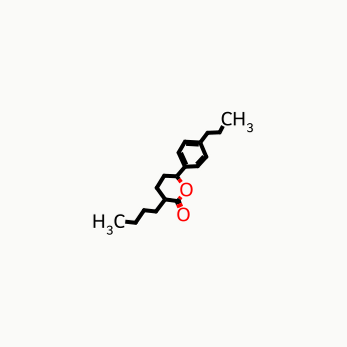 CCCCC1CCC(c2ccc(CCC)cc2)OC1=O